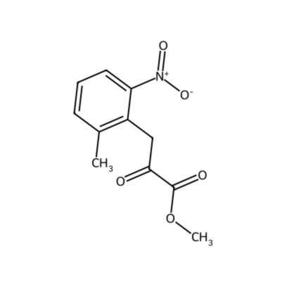 COC(=O)C(=O)Cc1c(C)cccc1[N+](=O)[O-]